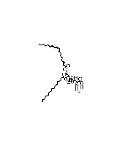 CCCCCCCC/C=C\CCCCCCCC(=O)OC[C@H](COP(=O)(O)OC[C@H](N)C(=O)O)OC(=O)CCCCCCCCCCCCCC